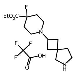 CCOC(=O)C1(F)CCN(C2CC3(CCNC3)C2)CC1.O=C(O)C(F)(F)F